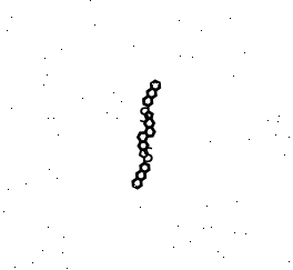 c1ccc2cc3cc(-c4cc5cc6ccc7c8cc9c(cc8ccc7c6cc5s4)CC(c4ccc5cc6ccccc6cc5c4)S9)ccc3cc2c1